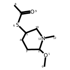 COC1CCC(SC(C)=O)CN1C